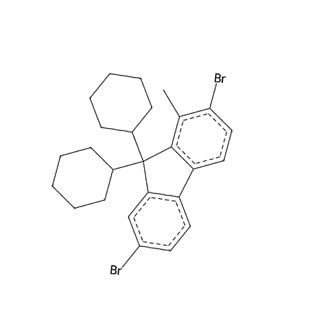 Cc1c(Br)ccc2c1C(C1CCCCC1)(C1CCCCC1)c1cc(Br)ccc1-2